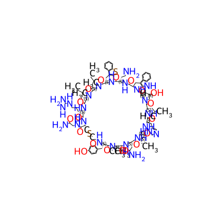 CCCC[C@H]1C(=O)N(C)[C@@H](CCCC)C(=O)N[C@@H](CCCNC(=N)N)C(=O)NC(C(=O)NCC(N)=O)CSCC(=O)N[C@@H](Cc2ccc(O)cc2)C(=O)N(C)[C@@H](C)C(=O)N[C@@H](CC(N)=O)C(=O)N[C@]2(C[C@@H]2CC)C(=O)NC(Cc2cnc[nH]2)C(=O)N[C@@H](CC(C)C)C(=O)N2C[C@H](O)C[C@H]2C(=O)NC(Cc2c[nH]c3ccccc23)C(=O)N[C@@H](CCN)C(=O)N[C@@H](Cc2csc3ccccc23)C(=O)N1C